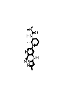 Cc1cc(Nc2cc(N3CCC[C@@H](NC(=O)N(C)C)[C@H]3C)cnc2C#N)sn1